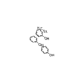 CCC.Oc1ccccc1.Oc1ccccc1.Oc1ccccc1